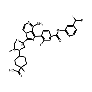 C[C@H]1CO[C@@H](c2nc(-c3ccc(C(=O)Nc4cc(C(F)F)ccn4)cc3F)c3c(N)nccn23)CN1C1CCC(C)(C(=O)O)CC1